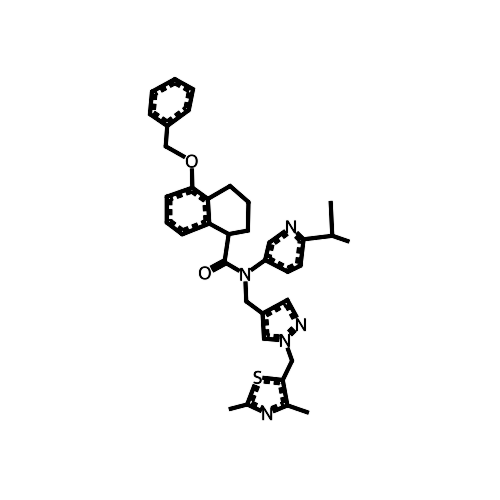 Cc1nc(C)c(Cn2cc(CN(C(=O)C3CCCc4c(OCc5ccccc5)cccc43)c3ccc(C(C)C)nc3)cn2)s1